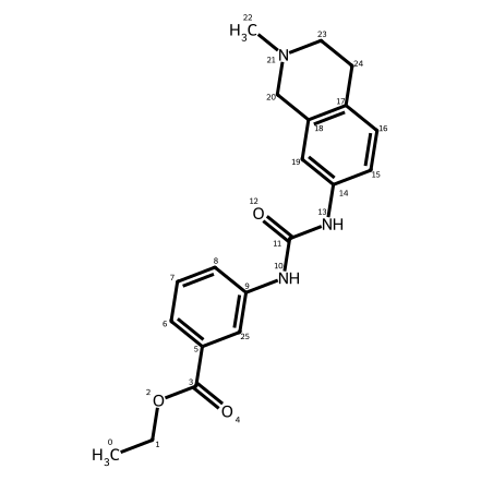 CCOC(=O)c1cccc(NC(=O)Nc2ccc3c(c2)CN(C)CC3)c1